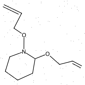 C=CCOC1CCCCN1OCC=C